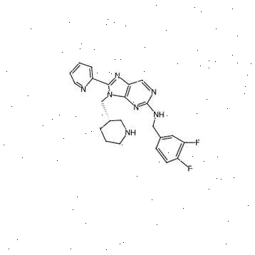 Fc1ccc(CNc2ncc3nc(-c4ccccn4)n(C[C@H]4CCCNC4)c3n2)cc1F